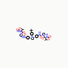 COC(=O)NC(C(=O)N1CCC[C@H]1C(=O)Nc1ccc([C@@H]2CC[C@@H](c3ccc(NC(=O)[C@@H]4CCCN4C(=O)C(NC(=O)OC)C(C)C)cc3)N2c2ccc(C(C)(C)C)cc2)cc1)C(C)C